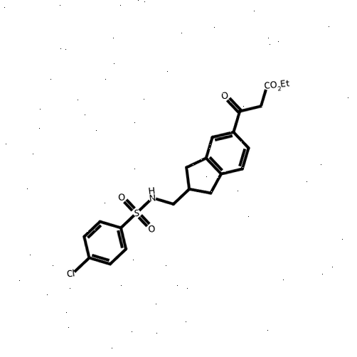 CCOC(=O)CC(=O)c1ccc2c(c1)CC(CNS(=O)(=O)c1ccc(Cl)cc1)C2